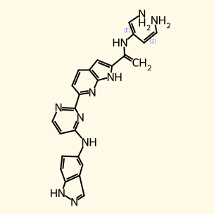 C=C(NC(/C=C\N)=C/N)c1cc2ccc(-c3nccc(Nc4ccc5[nH]ncc5c4)n3)nc2[nH]1